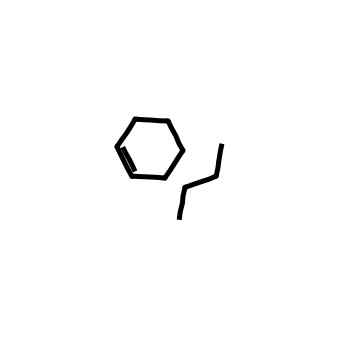 C1=CCCCC1.CCCC